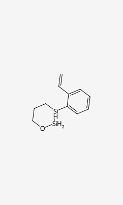 C=Cc1ccccc1[SiH]1CCCO[SiH2]1